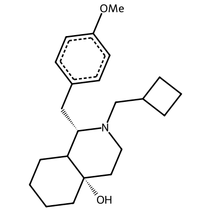 COc1ccc(C[C@H]2C3CCCC[C@]3(O)CCN2CC2CCC2)cc1